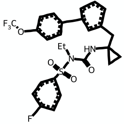 CCN(C(=O)NC1(Cc2cccc(-c3ccc(OC(F)(F)F)cc3)c2)CC1)S(=O)(=O)c1ccc(F)cc1